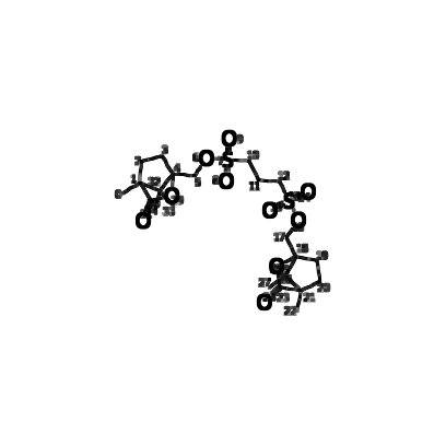 CC12CCC(COS(=O)(=O)CCCS(=O)(=O)OCC34CCC(C)(C(=O)O3)C4(C)C)(OC1=O)C2(C)C